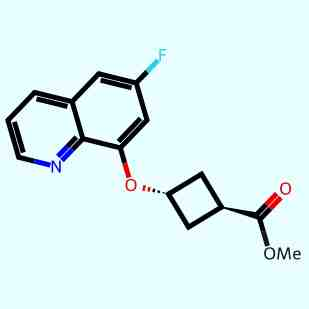 COC(=O)[C@H]1C[C@H](Oc2cc(F)cc3cccnc23)C1